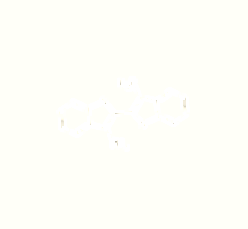 Pc1c(-c2sc3ccccc3c2P)sc2ccccc12